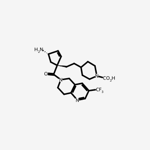 N[C@@H]1C=C[C@](CCC2CCN(C(=O)O)CC2)(C(=O)N2CCc3ncc(C(F)(F)F)cc3C2)C1